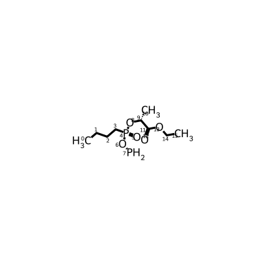 CCCCP(=O)(OP)O[C@H](C)C(=O)OCC